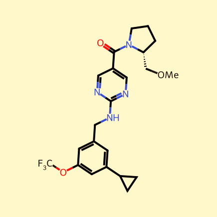 COC[C@H]1CCCN1C(=O)c1cnc(NCc2cc(OC(F)(F)F)cc(C3CC3)c2)nc1